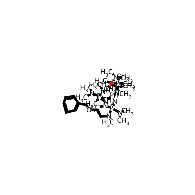 CN(C)P(C)(=N[PH](N=P(C)(C)C)(N=P(C)(N(C)C)N(C)C)N=P(N(C)C)(N(C)C)N(C)CCOCc1ccccc1)N(C)C